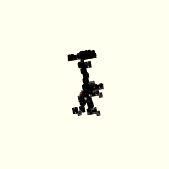 CCCCCCCCN(CCC[C@@H](C)[C@H]1CC[C@H]2C[C@H](OCCCN)CC3C[C@H](OCCCN)CC[C@]3(C)[C@H](C)C[C@H](OCCCN)C21C)C(=O)NCCOCCOCCOCCNC(=O)CCCC[Si](OC)(OC)OC